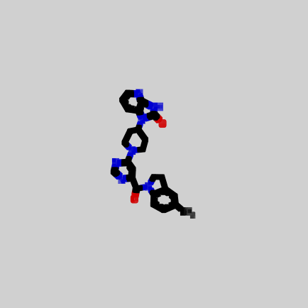 Bc1ccc2c(c1)CCN2C(=O)c1cc(N2CCC(n3c(=O)[nH]c4ncccc43)CC2)ncn1